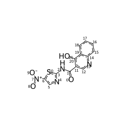 O=C(Nc1ncc([N+](=O)[O-])s1)c1cnc2ccccc2c1O